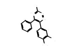 N#Cc1ccc(-c2nnc(N)nc2-c2ccccc2)cc1Cl